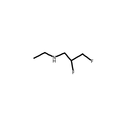 CCNCC(F)CF